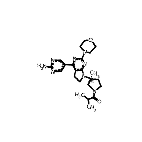 CC(C)C(=O)N1CC[C@](C)(N2CCc3c(-c4cnc(N)nc4)nc(N4CCOCC4)nc32)C1